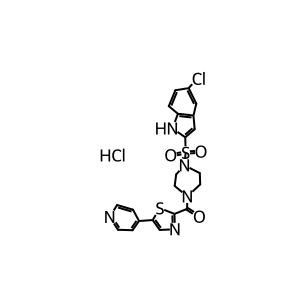 Cl.O=C(c1ncc(-c2ccncc2)s1)N1CCN(S(=O)(=O)c2cc3cc(Cl)ccc3[nH]2)CC1